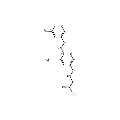 Cl.NC(=O)CNCc1ccc(OCc2cccc(Cl)c2)cc1